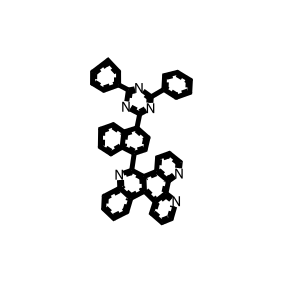 c1ccc(-c2nc(-c3ccccc3)nc(-c3ccc(-c4nc5ccccc5c5c6cccnc6c6ncccc6c45)c4ccccc34)n2)cc1